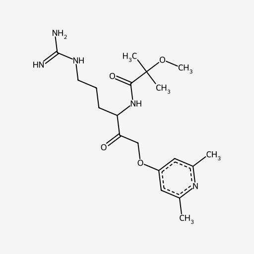 COC(C)(C)C(=O)NC(CCCNC(=N)N)C(=O)COc1cc(C)nc(C)c1